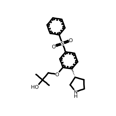 CC(C)(O)COc1cc(S(=O)(=O)c2ccccc2)ccc1[C@@H]1CCNC1